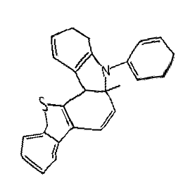 CC12C=Cc3c(sc4ccccc34)C1C1=C(CCC=C1)N2C1=CCCC=C1